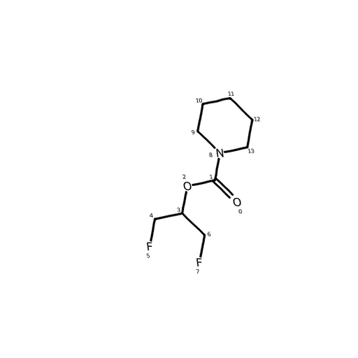 O=C(OC(CF)CF)N1CCCCC1